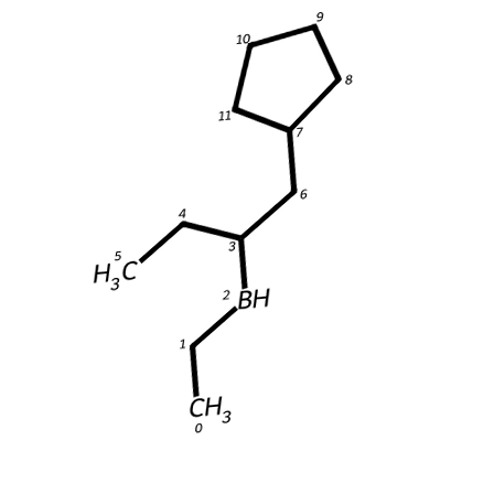 CCBC(CC)CC1CCCC1